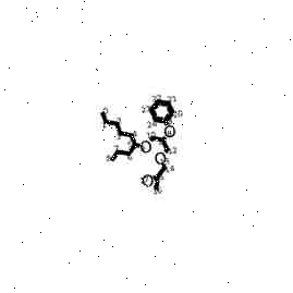 CCCCCC(CCC)OCC(COCC1CO1)Oc1ccccc1